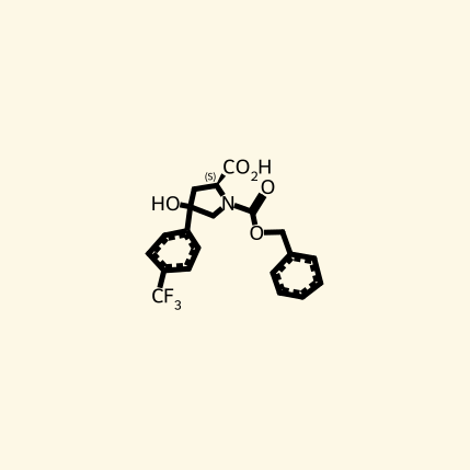 O=C(O)[C@@H]1CC(O)(c2ccc(C(F)(F)F)cc2)CN1C(=O)OCc1ccccc1